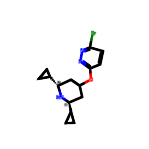 Brc1ccc(OC2C[C@@H](C3CC3)N[C@H](C3CC3)C2)nn1